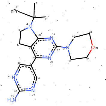 CCCC(C)(C)N1CCc2c(-c3cnc(N)nc3)nc(N3CCOCC3)nc21